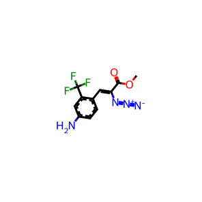 COC(=O)/C(=C/c1ccc(N)cc1C(F)(F)F)N=[N+]=[N-]